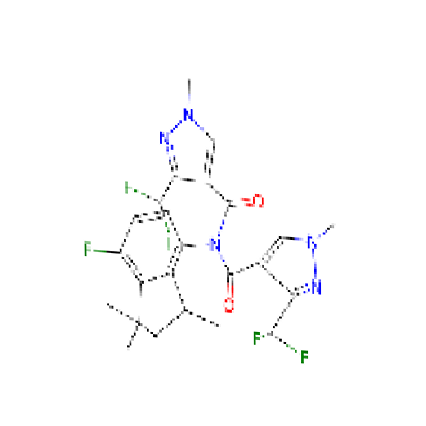 CC1CC(C)(C)c2c(F)ccc(N(C(=O)c3cn(C)nc3C(F)F)C(=O)c3cn(C)nc3C(F)F)c21